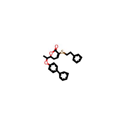 CC(Oc1ccc(-c2ccccc2)cc1)C1CC=C(SCCc2ccccc2)C(=O)O1